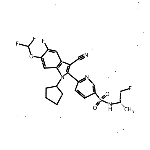 C[C@@H](CF)NS(=O)(=O)c1ccc(-c2c(C#N)c3cc(F)c(OC(F)F)cc3n2C2CCCC2)nc1